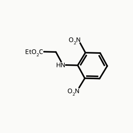 CCOC(=O)CNc1c([N+](=O)[O-])cccc1[N+](=O)[O-]